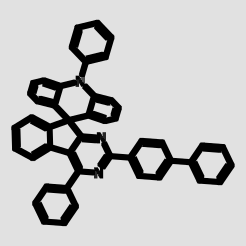 c1ccc(-c2ccc(-c3nc(-c4ccccc4)c4c(n3)C3(c5ccccc5-4)c4ccccc4N(c4ccccc4)c4ccccc43)cc2)cc1